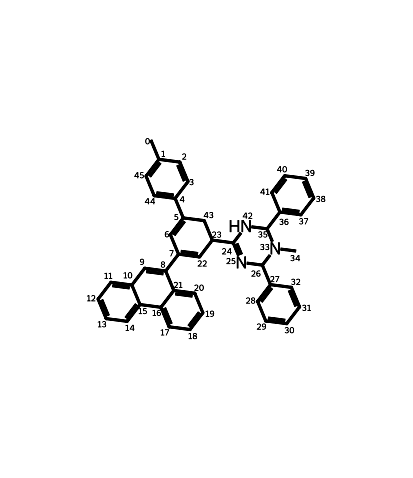 Cc1ccc(C2=CC(c3cc4ccccc4c4ccccc34)=CC(C3=NC(c4ccccc4)N(C)C(c4ccccc4)N3)C2)cc1